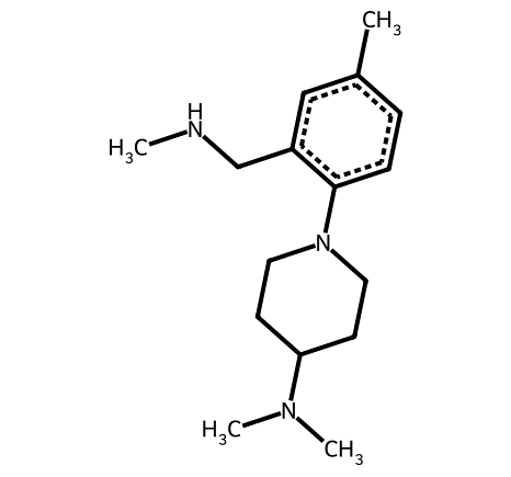 CNCc1cc(C)ccc1N1CCC(N(C)C)CC1